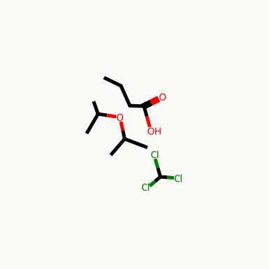 CC(C)OC(C)C.CCCC(=O)O.ClC(Cl)Cl